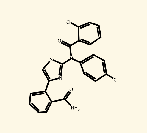 NC(=O)c1ccccc1-c1csc(N(C(=O)c2ccccc2Cl)c2ccc(Cl)cc2)n1